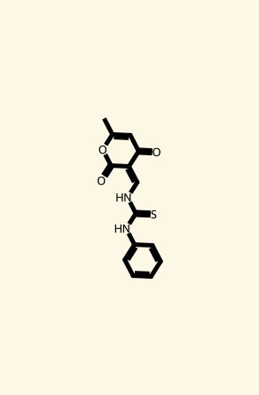 CC1=CC(=O)C(=CNC(=S)Nc2ccccc2)C(=O)O1